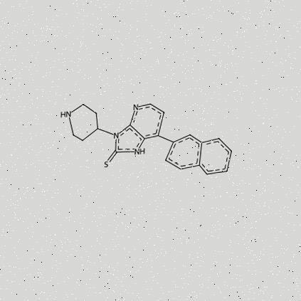 S=c1[nH]c2c(-c3ccc4ccccc4c3)ccnc2n1C1CCNCC1